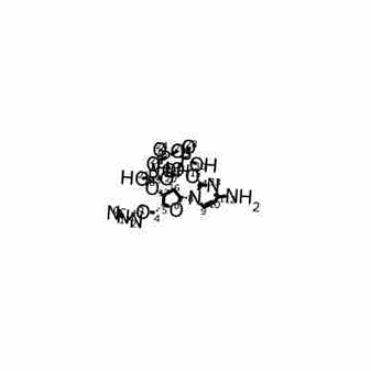 [N-]=[N+]=NOC[C@H]1O[C@@H](n2ccc(N)nc2=O)C[C@@H]1OP(=O)(O)OP(=O)(O)OP(=O)(O)O